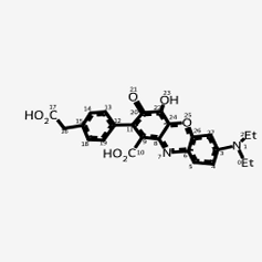 CCN(CC)c1ccc2nc3c(C(=O)O)c(-c4ccc(CC(=O)O)cc4)c(=O)c(O)c-3oc2c1